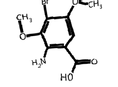 COc1cc(C(=O)O)c(N)c(OC)c1Br